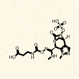 CN/C(=N\OC(=O)NCCC(=O)O)[C@@H]1c2c(cnn2C)[C@H]2CN1C(=O)N2OS(=O)(=O)O